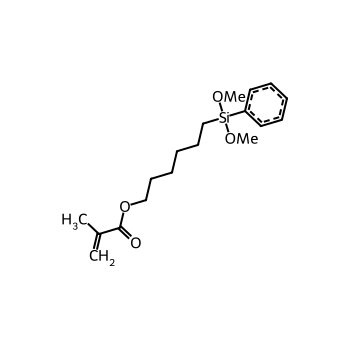 C=C(C)C(=O)OCCCCCC[Si](OC)(OC)c1ccccc1